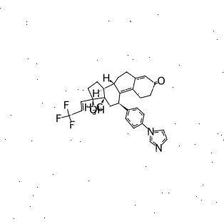 C[C@]12C[C@H](c3ccc(-n4ccnc4)cc3)C3=C4CCC(=O)C=C4CC[C@H]3[C@@H]1CC[C@@]2(O)/C=C/C(F)(F)F